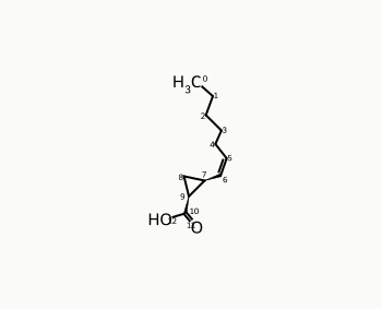 CCCCC/C=C\[C@@H]1C[C@@H]1C(=O)O